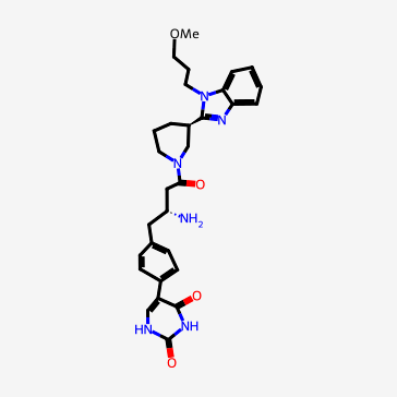 COCCCn1c([C@@H]2CCCN(C(=O)C[C@H](N)Cc3ccc(-c4c[nH]c(=O)[nH]c4=O)cc3)C2)nc2ccccc21